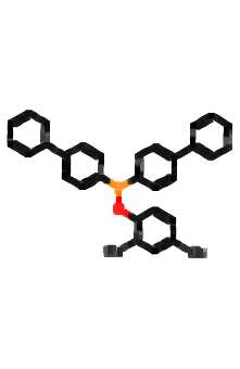 CC(C)(C)c1ccc(OP(c2ccc(-c3ccccc3)cc2)c2ccc(-c3ccccc3)cc2)c(C(C)(C)C)c1